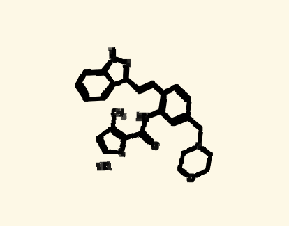 Cc1ccsc1C(=O)Nc1cc(CN2CCOCC2)ccc1C=Cc1n[nH]c2ccccc12.Cl